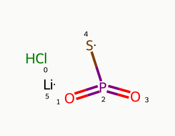 Cl.O=P(=O)[S].[Li]